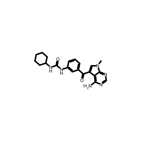 Cn1cc(C(=O)c2cccc(NC(=O)NC3CCCCC3)c2)c2c(N)ncnc21